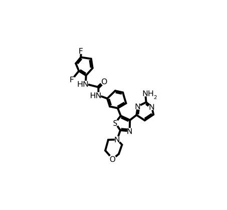 Nc1nccc(-c2nc(N3CCOCC3)sc2-c2cccc(NC(=O)Nc3ccc(F)cc3F)c2)n1